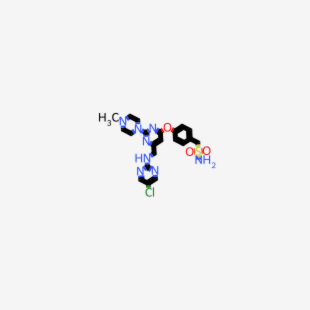 CN1CCN(c2nc(CNc3ncc(Cl)cn3)cc(Oc3ccc(CS(N)(=O)=O)cc3)n2)CC1